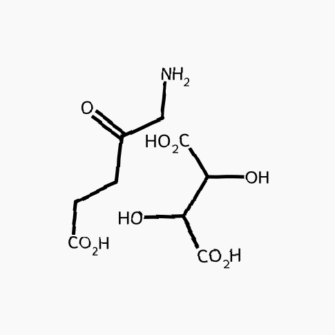 NCC(=O)CCC(=O)O.O=C(O)C(O)C(O)C(=O)O